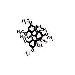 COc1cc(OC)c(P(=O)(c2c(OC)cc(OC)cc2OC)c2c(OC)cc(OC)cc2OC)c(OC)c1